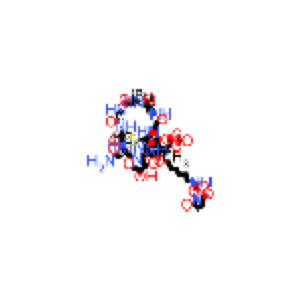 CCC(C)[C@@H]1NC(=O)CNC(=O)C2Cc3c([nH]c4cc(OCCCCCCNC(=O)ON5C(=O)CCC5=O)ccc34)SC[C@@H](NC(=O)CNC1=O)C(=O)N[C@@H](CC(N)=O)C(=O)N1CC(O)CC1C(=O)N[C@@H]([C@@H](C)C1COC(=O)O1)C(=O)N2